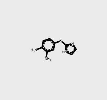 Nc1ccc(Sc2ncc[nH]2)cc1N